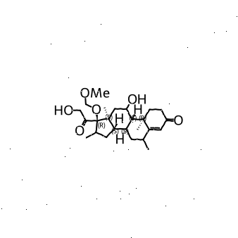 COCO[C@]1(C(=O)CO)C(C)C[C@H]2[C@@H]3CC(C)C4=CC(=O)CC[C@]4(C)[C@H]3C(O)C[C@@]21C